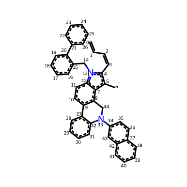 C=C/C=C\c1c(C)c2c3c(ccc2n1Cc1ccccc1-c1ccccc1)-c1ccccc1N(c1ccc2ccccc2c1)C3